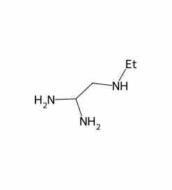 CCNCC(N)N